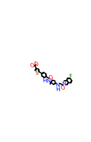 COC(=O)c1csc(-c2ccc(C(=O)NC3(C)CCC(NCC(=O)N4Cc5ccc(F)cc5C4)C3)cc2)c1